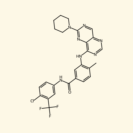 Cc1ccc(C(=O)Nc2ccc(Cl)c(C(F)(F)F)c2)cc1Nc1ncnc2cnc(N3CCCCC3)nc12